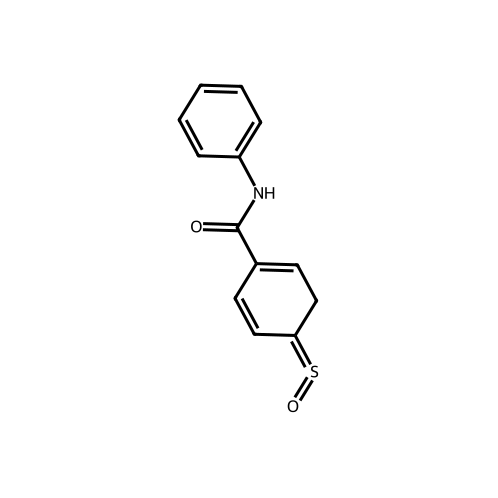 O=S=C1C=CC(C(=O)Nc2ccccc2)=CC1